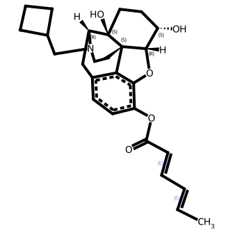 C/C=C/C=C/C(=O)Oc1ccc2c3c1O[C@H]1[C@@H](O)CC[C@@]4(O)[C@@H](C2)N(CC2CCC2)CC[C@]314